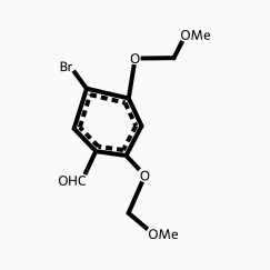 COCOc1cc(OCOC)c(C=O)cc1Br